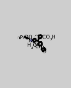 CCCOCC/N=C1\C=CC2=C(c3cc(C(=O)O)ccc3C(=O)O)c3ccc(N4CCOCC4)cc3[Si](C)(C)C2=C1